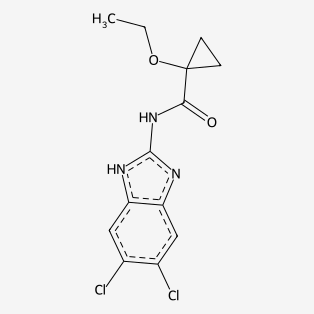 CCOC1(C(=O)Nc2nc3cc(Cl)c(Cl)cc3[nH]2)CC1